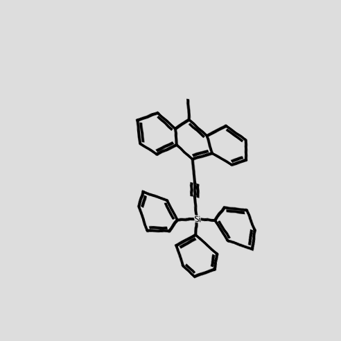 Cc1c2ccccc2c(C#C[Si](c2ccccc2)(c2ccccc2)c2ccccc2)c2ccccc12